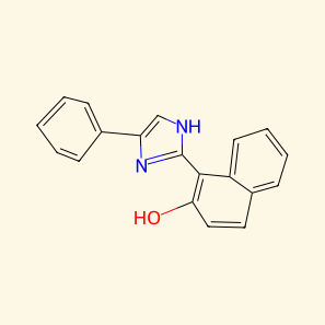 Oc1ccc2ccccc2c1-c1nc(-c2ccccc2)c[nH]1